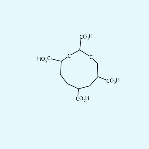 O=C(O)C1CCC(C(=O)O)CC(C(=O)O)CCC(C(=O)O)C1